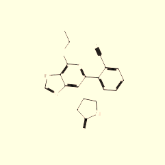 CCOc1nc(-c2ccccc2C#N)c([C@@H]2CNC(=O)C2)c2nc[nH]c12